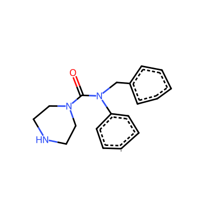 O=C(N1CCNCC1)N(Cc1ccccc1)c1cc[c]cc1